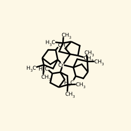 CC1CC2C[C]1([Cr]([C]13CC(CC1C)C(C)(C)C3)([C]13CC(CC1C)C(C)(C)C3)[C]13CC(CC1C)C(C)(C)C3)CC2(C)C